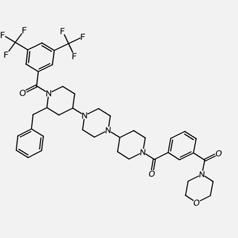 O=C(c1cccc(C(=O)N2CCC(N3CCN(C4CCN(C(=O)c5cc(C(F)(F)F)cc(C(F)(F)F)c5)C(Cc5ccccc5)C4)CC3)CC2)c1)N1CCOCC1